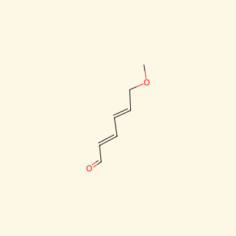 COCC=CC=CC=O